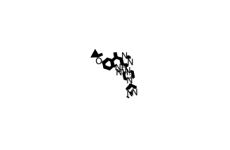 C=C(c1cc(N2CCN(c3cnn(C)c3)CC2)ncn1)c1cc(OC2(C)CC2)ccc1NN